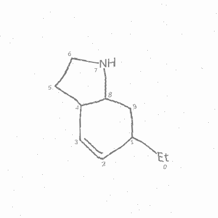 CCC1C=CC2CCNC2C1